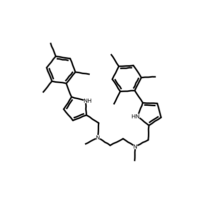 Cc1cc(C)c(-c2ccc(CN(C)CCN(C)Cc3ccc(-c4c(C)cc(C)cc4C)[nH]3)[nH]2)c(C)c1